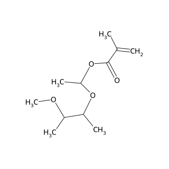 C=C(C)C(=O)OC(C)OC(C)C(C)OC